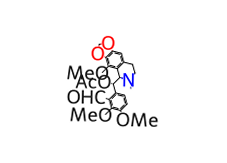 COc1ccc([C@H](OC(C)=O)[C@H]2c3c(cc4c(c3OC)OCO4)CCN2C)c(C=O)c1OC